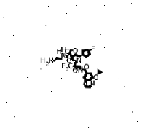 C[C@]1(C(=O)NCCCN)COc2c1cc(C(O)(CNC(=O)c1cc(OC3CC3)c3ncccc3c1)C(F)(F)F)nc2-c1ccc(F)cc1